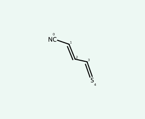 N#CC=CC=S